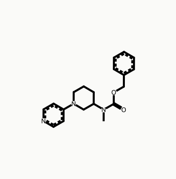 CN(C(=O)OCc1ccccc1)C1CCCN(c2ccncc2)C1